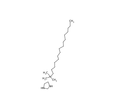 C1CNCN1.CCCCCCCCCCCCCCCC[N+](C)(C)C